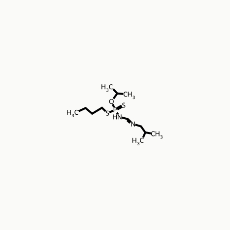 CCCCSP(=S)(NC=NCC(C)C)OC(C)C